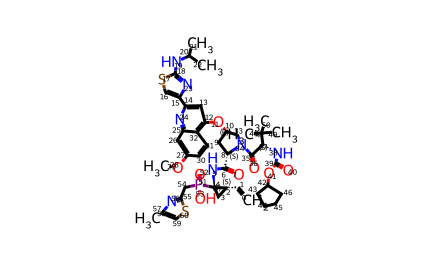 C=C[C@@H]1C[C@]1(NC(=O)[C@@H]1C[C@@H](Oc2cc(-c3csc(NC(C)C)n3)nc3cc(OC)ccc23)CN1C(=O)[C@@H](NC(=O)OC1CCCC1)C(C)(C)C)P(=O)(O)Cc1nc(C)cs1